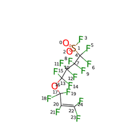 O=S(=O)(F)C(F)(F)C(F)(F)C(F)(F)C(F)(F)OC(F)(F)C(F)=C(F)F